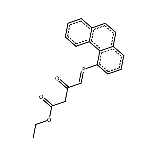 CCOC(=O)CC(=O)C=Pc1cccc2ccc3ccccc3c12